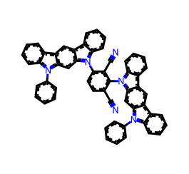 N#Cc1ccc(-n2c3ccccc3c3cc4c5ccccc5n(-c5ccccc5)c4cc32)c(C#N)c1-n1c2ccccc2c2cc3c4ccccc4n(-c4ccccc4)c3cc21